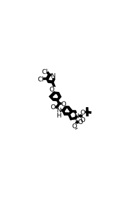 COC(=O)[C@@H]1Cc2cc3c(cc2CN1C(=O)OC(C)(C)C)OC(c1ccc(OCc2cnc(Cl)c(Cl)c2)cc1)C(=O)N3